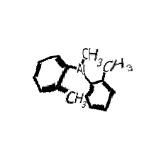 Cc1cccc[c]1[Al]([CH3])[c]1ccccc1C